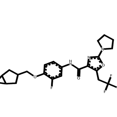 O=C(Nc1ccc(OCC2CC3CC3C2)c(F)c1)c1nc(N2CCCC2)oc1CC(F)(F)F